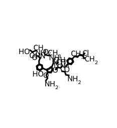 C=C/C(Cl)=C\C=C(/C)c1ccc(C(=O)N[C@@H](CCCCN)C(=O)N(C)[C@@H]2C(=O)N[C@@H](C)C(=O)NC(C(=O)N[C@@H](C)C(=O)CO)Cc3ccc(O)c(c3)-c3cc2ccc3OCCN)cc1